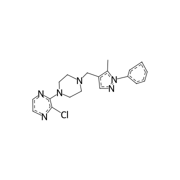 Cc1c(CN2CCN(c3nccnc3Cl)CC2)cnn1-c1ccccc1